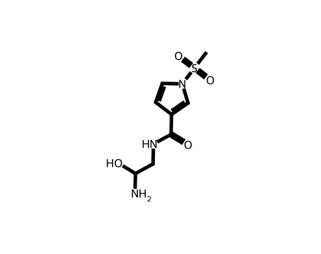 CS(=O)(=O)n1ccc(C(=O)NCC(N)O)c1